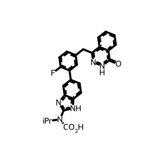 CC(C)N(C(=O)O)c1nc2cc(-c3cc(Cc4n[nH]c(=O)c5ccccc45)ccc3F)ccc2[nH]1